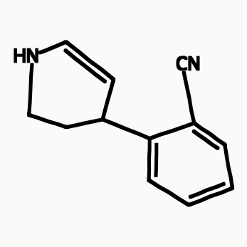 N#Cc1ccccc1C1C=CNCC1